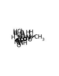 CCCNC(=O)Nc1ccc2c(c1)C(C)(N)c1c-2[nH]c(=O)c2nccn12.Cl.O.O.O